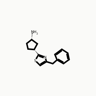 N[C@H]1CC[C@@H](c2nc(Cc3ccccc3)cs2)C1